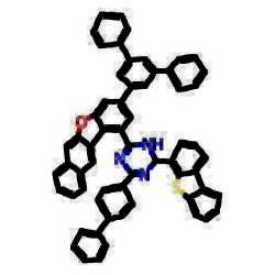 c1ccc(-c2ccc(C3=NC(c4cccc5c4sc4ccccc45)NC(c4cc(-c5cc(-c6ccccc6)cc(-c6ccccc6)c5)cc5oc6cc7ccccc7cc6c45)=N3)cc2)cc1